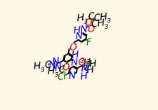 [2H]C([2H])([2H])NC(=O)c1cnc(Cl)cc1Nc1cc(COCc2cc(F)cc(NC(=O)OC(C)(C)C)n2)cc(-c2ncn(C)n2)c1OC